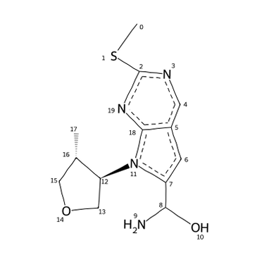 CSc1ncc2cc(C(N)O)n([C@H]3COC[C@@H]3C)c2n1